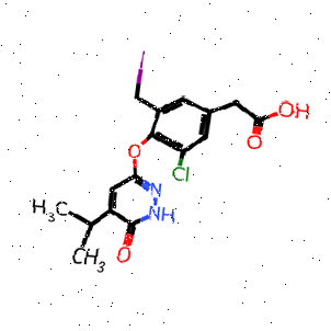 CC(C)c1cc(Oc2c(Cl)cc(CC(=O)O)cc2CI)n[nH]c1=O